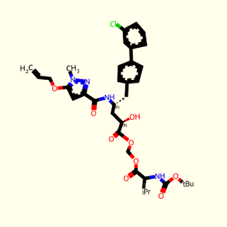 C=CCOc1cc(C(=O)N[C@H](Cc2ccc(-c3cccc(Cl)c3)cc2)C[C@@H](O)C(=O)OCOC(=O)C(NC(=O)OC(C)(C)C)C(C)C)nn1C